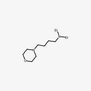 CCN(CC)CC[CH]CN1CCOCC1